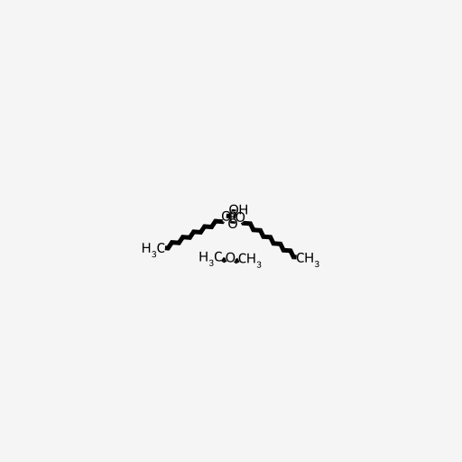 CCCCCCCCCCCCOP(=O)(O)OCCCCCCCCCCCC.CCOCC